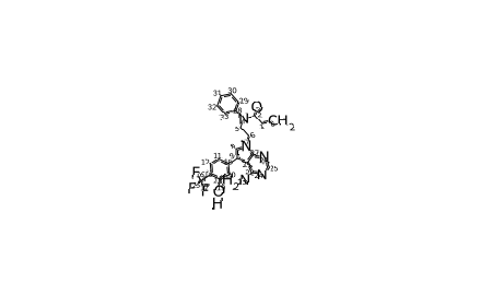 C=CC(=O)N(CCn1cc(-c2ccc(C(F)(F)F)c(O)c2)c2c(N)ncnc21)c1ccccc1